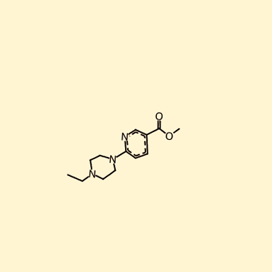 CCN1CCN(c2ccc(C(=O)OC)cn2)CC1